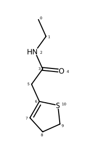 CCNC(=O)CC1=CCCS1